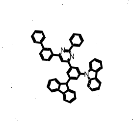 c1ccc(-c2cccc(-c3cc(-c4cc(C5c6ccccc6-c6ccccc65)cc(-n5c6ccccc6c6ccccc65)c4)nc(-c4ccccc4)n3)c2)cc1